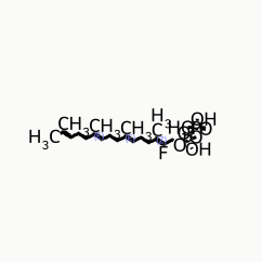 CC(C)=CCC/C(C)=C/CC/C(C)=C/CC/C(C)=C(\F)COP(=O)(O)OP(=O)(O)O